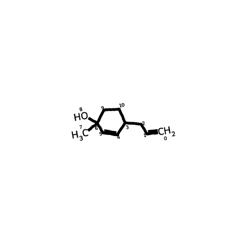 C=CCC1C=CC(C)(O)CC1